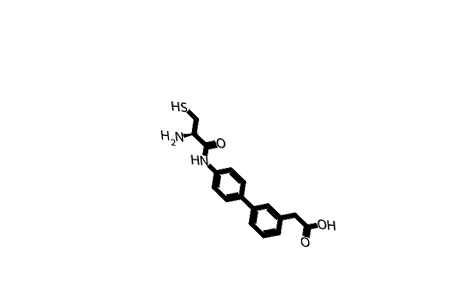 N[C@@H](CS)C(=O)Nc1ccc(-c2cccc(CC(=O)O)c2)cc1